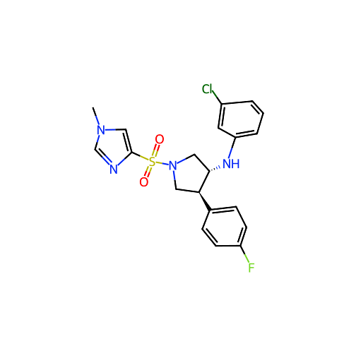 Cn1cnc(S(=O)(=O)N2C[C@H](Nc3cccc(Cl)c3)[C@@H](c3ccc(F)cc3)C2)c1